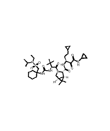 CCN(C(C)C)S(=O)(=O)CC1(NC(=O)N[C@H](C(=O)N2C[C@H]3[C@@H]([C@H]2C(=O)N[C@@H](CCC2CC2)C(=O)C(=O)NC2CC2)C3(C)C)C(C)(C)C)CCCCC1